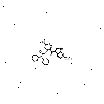 COc1ccc2c(C(=O)C(=O)N(CC(=O)N(C)C)CC(=O)N(C3CCCCC3)C3CCCCC3)c[nH]c2c1